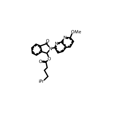 COc1ccc2ccc(N3C(=O)c4ccccc4C3OC(=O)CCCC(C)C)nc2n1